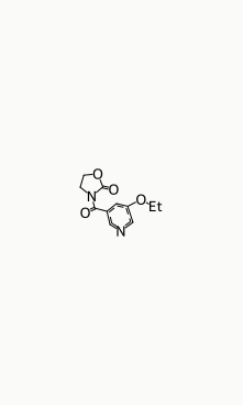 CCOc1cncc(C(=O)N2CCOC2=O)c1